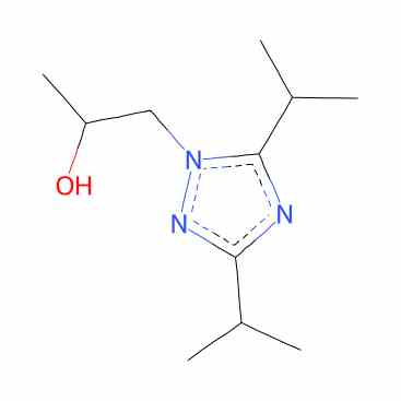 CC(O)Cn1nc(C(C)C)nc1C(C)C